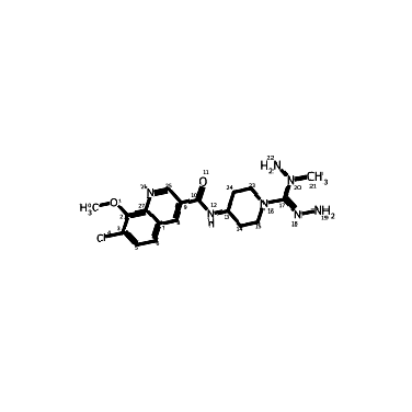 COc1c(Cl)ccc2cc(C(=O)NC3CCN(/C(=N/N)N(C)N)CC3)cnc12